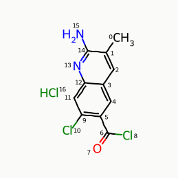 Cc1cc2cc(C(=O)Cl)c(Cl)cc2nc1N.Cl